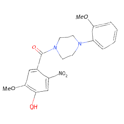 COc1cc(C(=O)N2CCN(c3ccccc3OC)CC2)c([N+](=O)[O-])cc1O